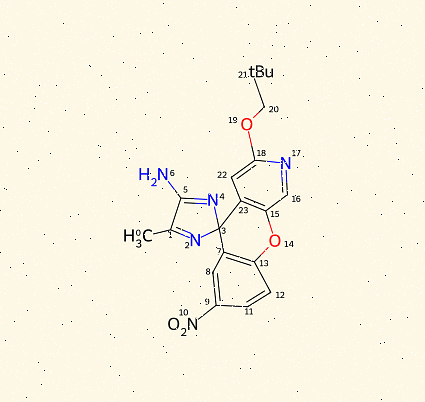 CC1=NC2(N=C1N)c1cc([N+](=O)[O-])ccc1Oc1cnc(OCC(C)(C)C)cc12